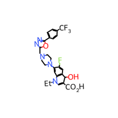 CCN1C=C(C(=O)O)C(O)c2cc(F)c(N3CCN(Cc4nnc(-c5ccc(C(F)(F)F)cc5)o4)CC3)cc21